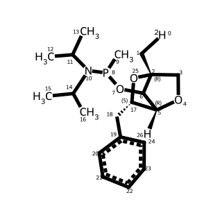 [2H]C[C@@]12CO[C@@H](C1OP(C)N(C(C)C)C(C)C)[C@H](Cc1ccccc1)O2